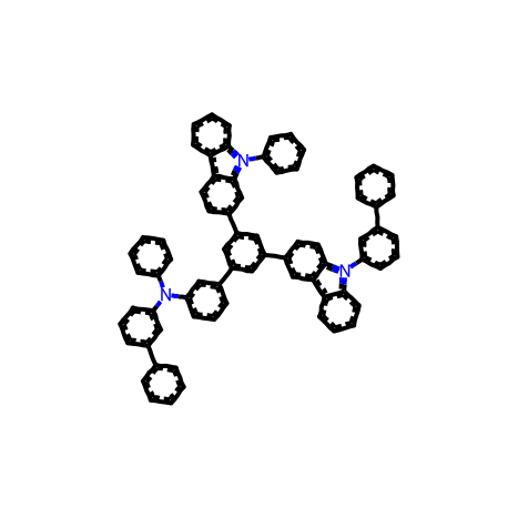 c1ccc(-c2cccc(N(c3ccccc3)c3cccc(-c4cc(-c5ccc6c(c5)c5ccccc5n6-c5cccc(-c6ccccc6)c5)cc(-c5ccc6c7ccccc7n(-c7ccccc7)c6c5)c4)c3)c2)cc1